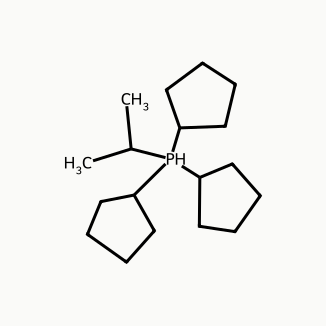 CC(C)[PH](C1CCCC1)(C1CCCC1)C1CCCC1